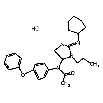 CCCN1C(=NC2CCCCC2)SCC1N(C(C)=O)c1ccc(Oc2ccccc2)cc1.Cl